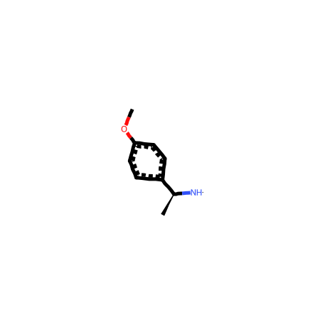 COc1ccc([C@H](C)[NH])cc1